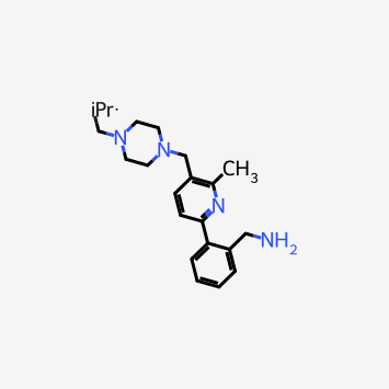 C[C](C)CN1CCN(Cc2ccc(-c3ccccc3CN)nc2C)CC1